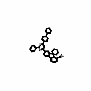 N#Cc1cccc2c1C1(CCCCC1)c1cc(-c3cc(-c4ccc(-c5ccccc5)cc4)nc(-c4ccccc4)n3)ccc1-2